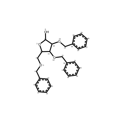 OC1OC(COCc2ccccc2)C(OCc2ccccc2)C1OCc1ccccc1